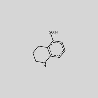 O=S(=O)(O)c1cccc2c1CCCN2